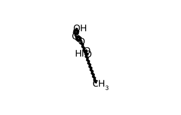 CCCCCCCCCCCCCCCCCC(=O)NC(=O)CCCCCOc1ccc(Oc2ccc(O)cc2)cc1